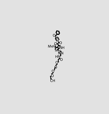 C#CCOCCOCCOCCOCCC(=O)NCc1ncn(-c2ncc(OC)c3c(C(=O)C(=O)N4CCN(C(=O)c5ccccc5)CC4)c[nH]c23)n1